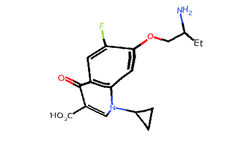 CCC(N)COc1cc2c(cc1F)c(=O)c(C(=O)O)cn2C1CC1